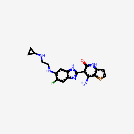 Nc1c(-c2nc3cc(F)c(NCCNC4CC4)cc3[nH]2)c(=O)[nH]c2ccsc12